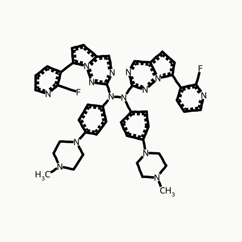 CN1CCN(c2ccc(N(c3ncc4ccc(-c5cccnc5F)n4n3)N(c3ccc(N4CCN(C)CC4)cc3)c3ncc4ccc(-c5cccnc5F)n4n3)cc2)CC1